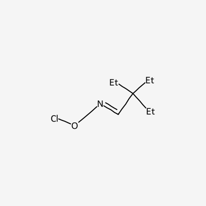 CCC(C=NOCl)(CC)CC